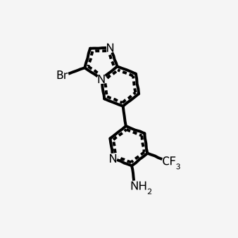 Nc1ncc(-c2ccc3ncc(Br)n3c2)cc1C(F)(F)F